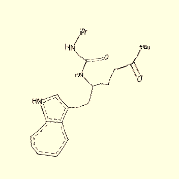 CC(C)NC(=O)NC(CCC(=O)C(C)(C)C)Cc1c[nH]c2ccccc12